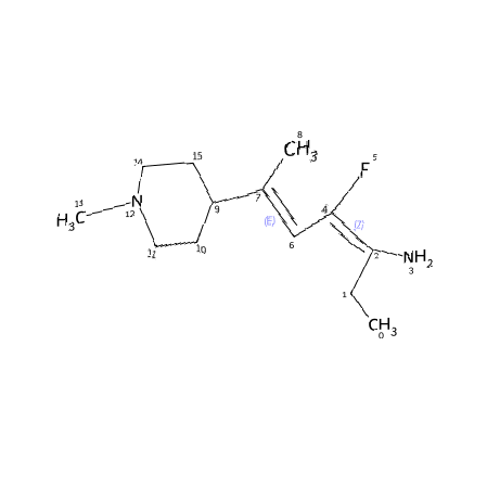 CC/C(N)=C(F)\C=C(/C)C1CCN(C)CC1